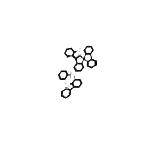 c1ccc(N(c2ccc3c(c2)-c2c(sc4ccccc24)C32c3ccccc3-c3ccccc32)c2cccc3c2sc2ccccc23)cc1